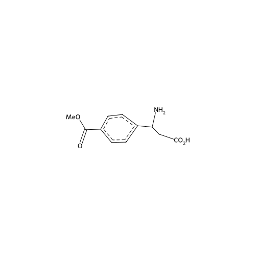 COC(=O)c1ccc(C(N)CC(=O)O)cc1